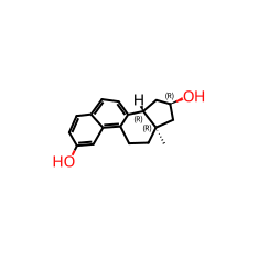 C[C@]12CCc3c(ccc4ccc(O)cc34)[C@@H]1C[C@@H](O)C2